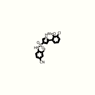 COc1c(Cl)cccc1-c1cc(S(=O)(=O)Nc2ccc(C#N)cc2F)c[nH]1